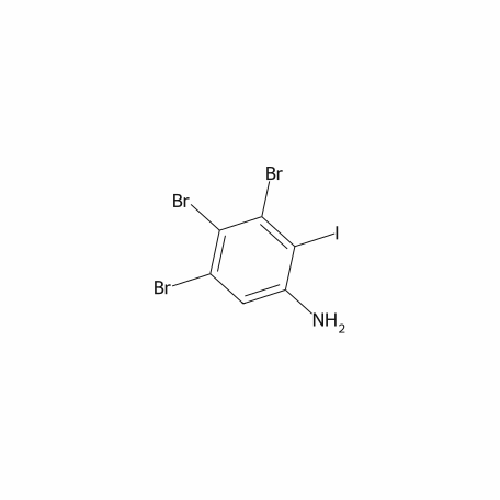 Nc1cc(Br)c(Br)c(Br)c1I